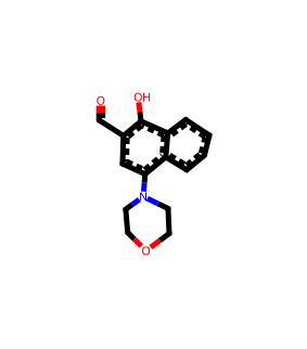 O=Cc1cc(N2CCOCC2)c2ccccc2c1O